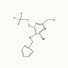 FC(F)(F)COc1cc(CCl)nc(Br)c1OCc1ccccc1